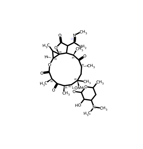 C/N=C(\N)C1C(=O)O[C@@]23C1[C@@H](C)C(=O)[C@H](C)C[C@@](C)(OC)[C@H](OC1OC(C)CC(N(C)C)C1O)[C@@H](C)C(=O)[C@@H](C)C(=O)O[C@H]2C3C